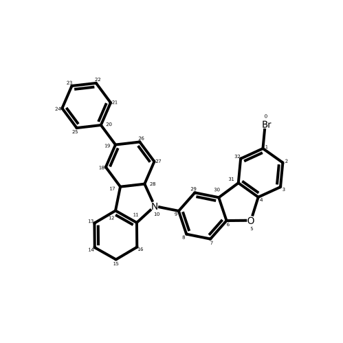 Brc1ccc2oc3ccc(N4C5=C(C=CCC5)C5C=C(c6ccccc6)C=CC54)cc3c2c1